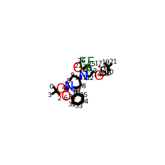 CC(C)(C)OC(=O)N1CCC(N(CCO[Si](C)(C)C(C)(C)C)C(=O)C(F)(F)F)C[C@H]1c1ccccc1